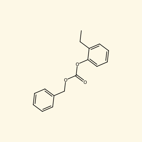 CCc1ccccc1OC(=O)OCc1ccccc1